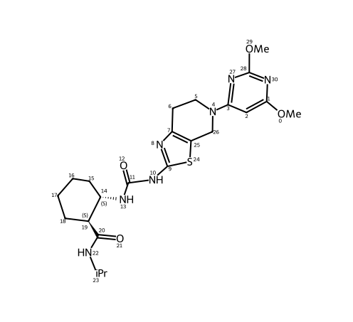 COc1cc(N2CCc3nc(NC(=O)N[C@H]4CCCC[C@@H]4C(=O)NC(C)C)sc3C2)nc(OC)n1